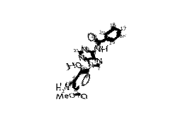 COC(=O)[C@H]1O[C@@H](n2cnc3c(NC(=O)c4ccccc4)ncnc32)[C@H](O)[C@@H]1N